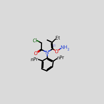 CCCc1cccc(CCC)c1N(C(=O)CCl)/C(ON)=C(\C)CC